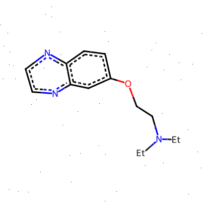 CCN(CC)CCOc1ccc2nccnc2c1